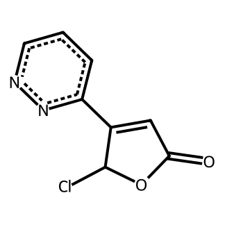 O=C1C=C(c2cccnn2)C(Cl)O1